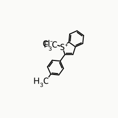 Cc1ccc(-c2cc3ccccc3[s+]2C(F)(F)F)cc1.[Cl-]